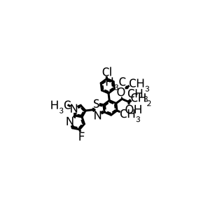 C=C(O)[C@@H](OC(C)(C)C)c1c(C)cc2nc(-c3cn(C)c4ncc(F)cc34)sc2c1-c1ccc(Cl)cc1